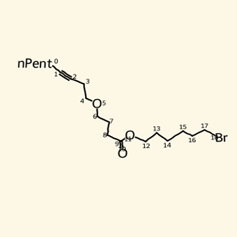 CCCCCC#CCCOCCCC(=O)OCCCCCCBr